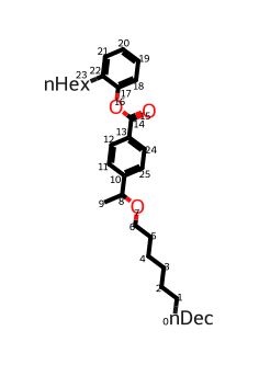 CCCCCCCCCCCCCCCCOC(C)c1ccc(C(=O)Oc2ccccc2CCCCCC)cc1